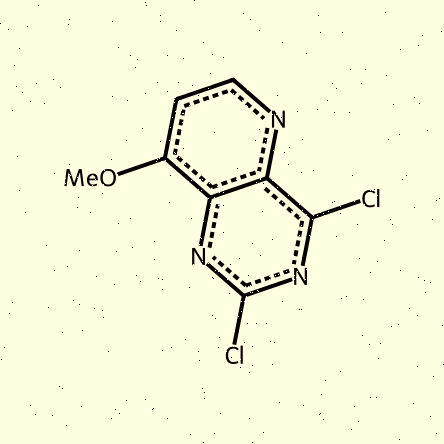 COc1ccnc2c(Cl)nc(Cl)nc12